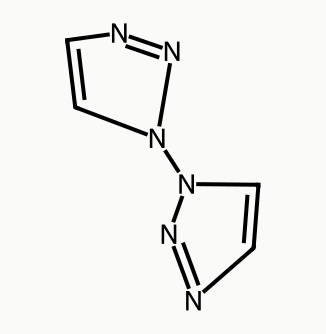 c1cn(-n2ccnn2)nn1